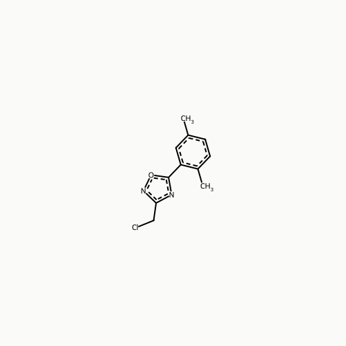 Cc1ccc(C)c(-c2nc(CCl)no2)c1